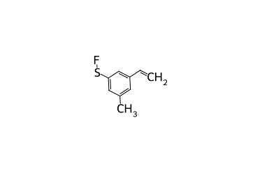 C=Cc1cc(C)cc(SF)c1